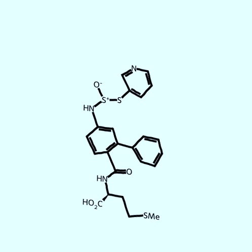 CSCC[C@H](NC(=O)c1ccc(N[S+]([O-])Sc2cccnc2)cc1-c1ccccc1)C(=O)O